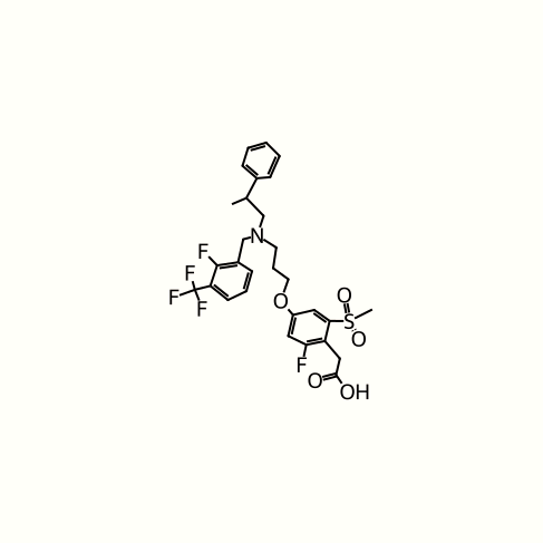 CC(CN(CCCOc1cc(F)c(CC(=O)O)c(S(C)(=O)=O)c1)Cc1cccc(C(F)(F)F)c1F)c1ccccc1